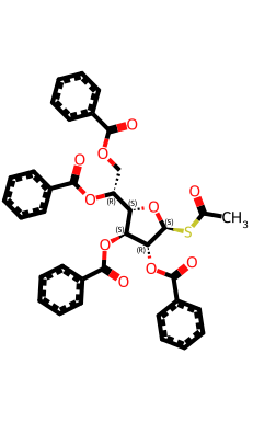 CC(=O)S[C@@H]1O[C@@H]([C@@H](COC(=O)c2ccccc2)OC(=O)c2ccccc2)[C@H](OC(=O)c2ccccc2)[C@H]1OC(=O)c1ccccc1